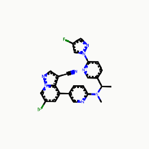 CC(c1ccc(-n2cc(F)cn2)nc1)N(C)c1ccc(-c2cc(Br)cn3ncc(C#N)c23)cn1